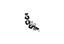 CCCN(N)C(=O)C1=CC=CC(N2CCCN(C3CCN(C(C)C)CC3)CC2)N1